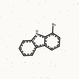 [Ru][c]1cccc2c1[nH]c1ccccc12